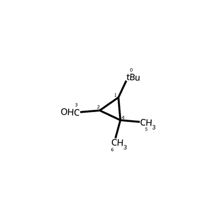 CC(C)(C)C1C(C=O)C1(C)C